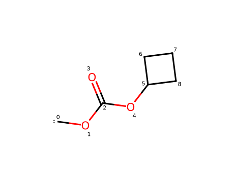 [CH]OC(=O)OC1CCC1